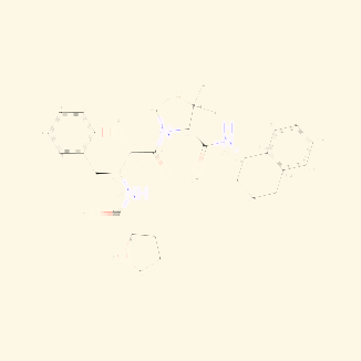 CC1(C)SCN(C(=O)[C@@H](O)[C@H](Cc2ccccc2)NC(=O)[C@@H]2CCCO2)[C@@H]1C(=O)N[C@H]1CCCc2ccccc21